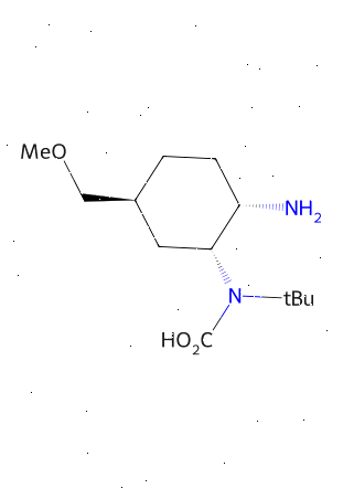 COC[C@H]1CC[C@H](N)[C@H](N(C(=O)O)C(C)(C)C)C1